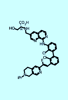 CC(C)N1CCc2cc(C(F)=Cc3cccc(-c4cccc(Nc5nccc6cc(CN[C@H](CO)C(=O)O)cnc56)c4Cl)c3Cl)ncc2C1